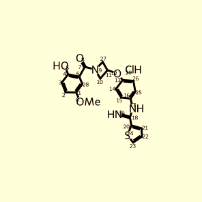 COc1ccc(O)c(C(=O)N2CC(Oc3ccc(NC(=N)c4cccs4)cc3)C2)c1.Cl